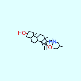 CC1CC[C@]2(NC1)O[C@H]1CC3C4CCC5C[C@@H](O)CC[C@]5(C)C4CC[C@]3(C)[C@H]1[C@@H]2C